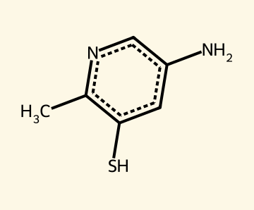 Cc1ncc(N)cc1S